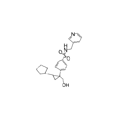 O=S(=O)(NCc1cccnc1)c1ccc(C2(CO)CC2C2CCCC2)cc1